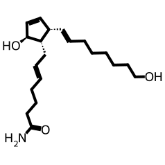 NC(=O)CCCC=CC[C@H]1[C@@H](C=CCCCCCCO)C=C[C@@H]1O